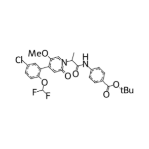 COc1cn(C(C)C(=O)Nc2ccc(C(=O)OC(C)(C)C)cc2)c(=O)cc1-c1cc(Cl)ccc1OC(F)F